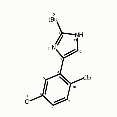 CC(C)(C)c1nc(-c2cc(Cl)ccc2Cl)c[nH]1